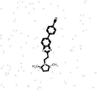 C[C@@H]1CC[C@@H](C)N1CCc1nc2cc(-c3ccc(C#N)cc3)ccc2o1